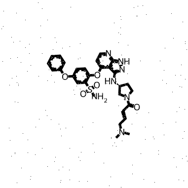 CN(C)C/C=C/C(=O)N1CC[C@@H](Nc2n[nH]c3nccc(Oc4ccc(Oc5ccccc5)cc4S(N)(=O)=O)c23)C1